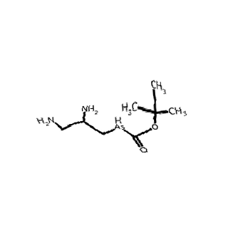 CC(C)(C)OC(=O)[AsH]CC(N)CN